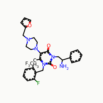 Cc1c(N2CCN(Cc3ccco3)CC2)c(=O)n(CC(N)c2ccccc2)c(=O)n1Cc1c(F)cccc1C(F)(F)F